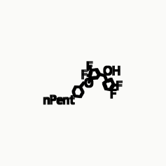 CCCCCC1CCC(COc2cc(C(O)c3ccc(F)c(F)c3)cc(F)c2F)CC1